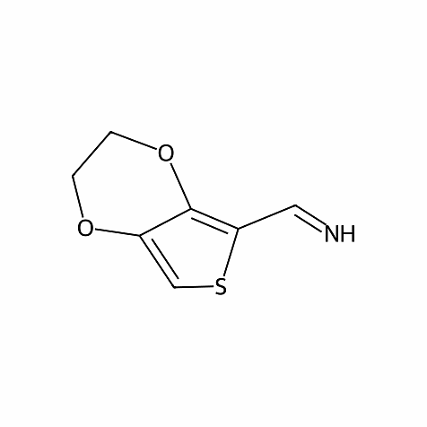 N=Cc1scc2c1OCCO2